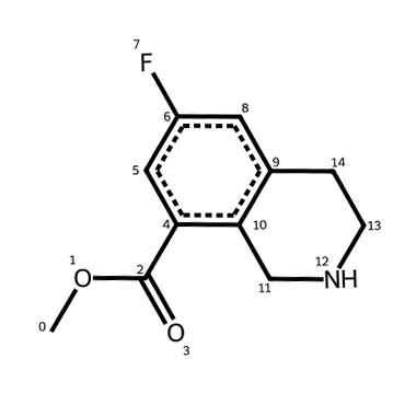 COC(=O)c1cc(F)cc2c1CNCC2